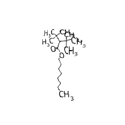 CCCCCCCCOC(=O)C(C(C)(C)C)C(C)(C)C